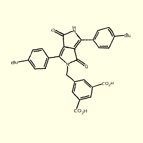 CC(C)(C)c1ccc(C2=C3C(=O)N(Cc4cc(C(=O)O)cc(C(=O)O)c4)C(c4ccc(C(C)(C)C)cc4)=C3C(=O)N2)cc1